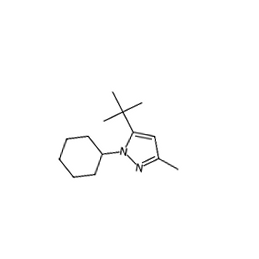 Cc1cc(C(C)(C)C)n(C2CCCCC2)n1